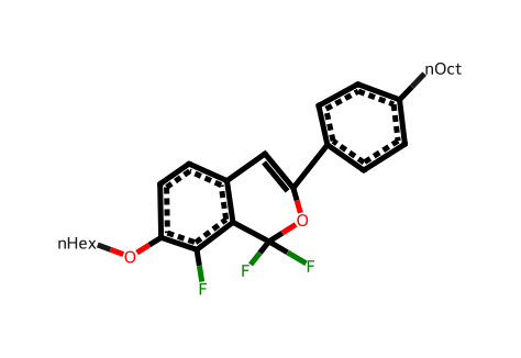 CCCCCCCCc1ccc(C2=Cc3ccc(OCCCCCC)c(F)c3C(F)(F)O2)cc1